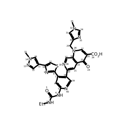 CCNC(=O)Nc1cc(-c2nc(-c3cnn(C)c3)cs2)c(-c2cc3c(=O)c(C(=O)O)cn(Cc4cn(C)cn4)c3cn2)cn1